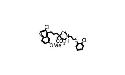 COc1ccc2ncc(Cl)c(CCCC3(CC(=O)O)CCN(CCSc4ccccc4Cl)CC3)c2c1